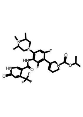 CC(C)OC(=O)N1CCC=C(c2c(F)cc(N3CC(C)N(C)C(C)C3)c(NC(=O)c3c[nH]c(=O)cc3C(F)(F)F)c2F)C1